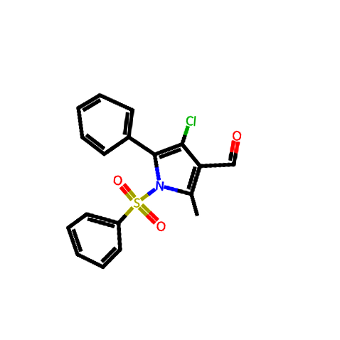 Cc1c(C=O)c(Cl)c(-c2ccccc2)n1S(=O)(=O)c1ccccc1